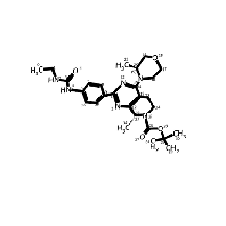 CCNC(=O)Nc1ccc(-c2nc3c(c(N4CCOC[C@@H]4C)n2)CCN(C(=O)OC(C)(C)C)[C@@H]3C)cc1